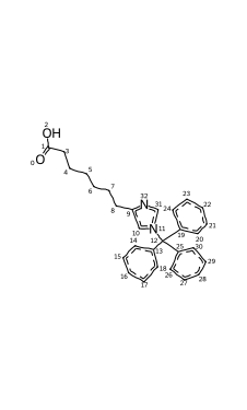 O=C(O)CCCCCCc1cn(C(c2ccccc2)(c2ccccc2)c2ccccc2)cn1